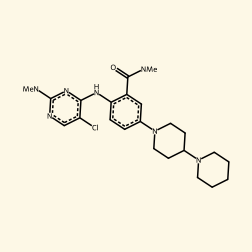 CNC(=O)c1cc(N2CCC(N3CCCCC3)CC2)ccc1Nc1nc(NC)ncc1Cl